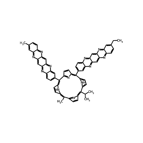 CCc1ccc2nc3cc4nc5cc(-c6c7nc(c(-c8ccc9nc%10cc%11nc%12cc(C)ccc%12nc%11cc%10nc9c8)c8ccc([nH]8)c(C)c8nc(c(C(C)C)c9ccc6[nH]9)C=C8)C=C7)ccc5nc4cc3nc2c1